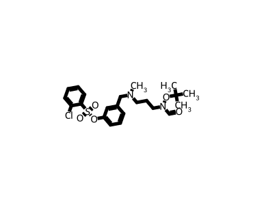 CN(CCCN(C=O)OC(C)(C)C)Cc1cccc(OS(=O)(=O)c2ccccc2Cl)c1